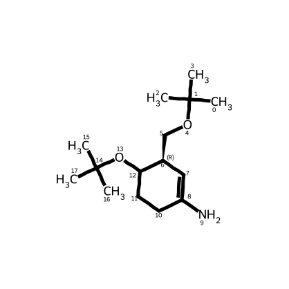 CC(C)(C)OC[C@H]1C=C(N)CCC1OC(C)(C)C